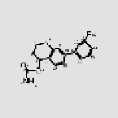 NC(=O)OC1CCSc2cc(-c3cccc(F)c3)ccc21